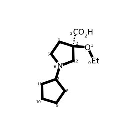 CCO[C@]1(C(=O)O)CCN(C2CCCC2)C1